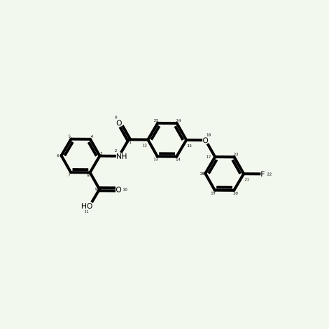 O=C(Nc1ccccc1C(=O)O)c1ccc(Oc2cccc(F)c2)cc1